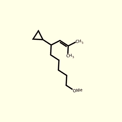 COCCCCCC(C=C(C)C)C1CC1